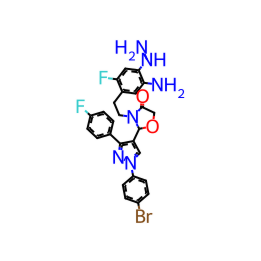 NNc1cc(F)c(CCN2C(=O)COC2c2cn(-c3ccc(Br)cc3)nc2-c2ccc(F)cc2)cc1N